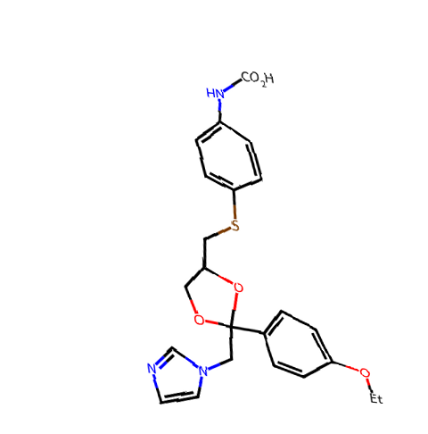 CCOc1ccc(C2(Cn3ccnc3)OCC(CSc3ccc(NC(=O)O)cc3)O2)cc1